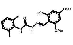 CCCc1cc(OC)cc(OC)c1/C=N/NC(=O)Nc1c(C)cccc1C